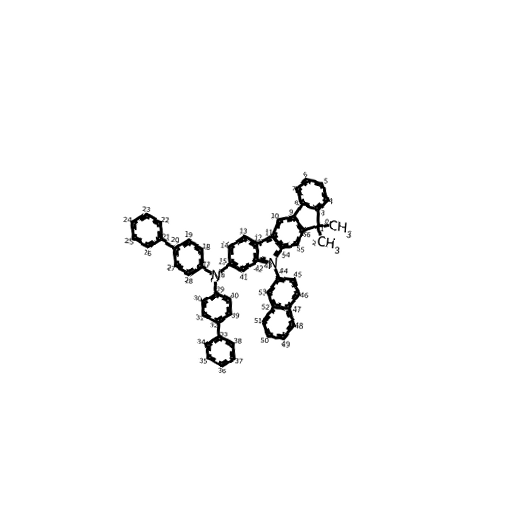 CC1(C)c2ccccc2-c2cc3c4ccc(N(c5ccc(-c6ccccc6)cc5)c5ccc(-c6ccccc6)cc5)cc4n(-c4ccc5ccccc5c4)c3cc21